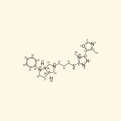 Cc1ncoc1-c1nnc(SCCCN2C[C@H]3CCN(c4ccccc4)[C@H]3C2)n1C